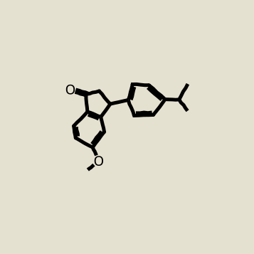 COc1ccc2c(c1)C(c1ccc(C(C)C)cc1)CC2=O